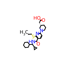 CCCSc1nc(N2CCC[C@@H](CC(=O)O)C2)ccc1C(=O)NC(C1CCCCC1)C1CC1